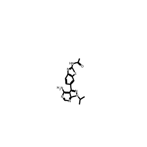 CC(=O)Nc1nc2ccc(-c3nn(C(C)C)c4ncnc(N)c34)cc2s1